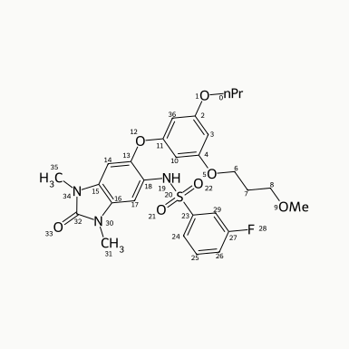 CCCOc1cc(OCCCOC)cc(Oc2cc3c(cc2NS(=O)(=O)c2cccc(F)c2)n(C)c(=O)n3C)c1